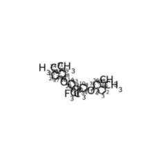 Cc1cccc2c(Oc3ccc(-c4ccc(Oc5ccc(C)c6c(C)cccc56)cc4C(F)(F)F)c(C(F)(F)F)c3)ccc(C)c12